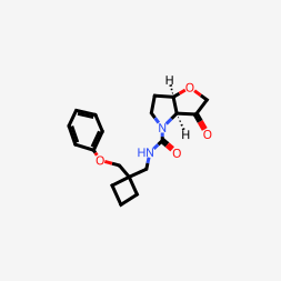 O=C1CO[C@@H]2CCN(C(=O)NCC3(COc4ccccc4)CCC3)[C@H]12